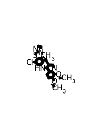 CCOc1ccc2c(Nc3ccc(Sc4nccn4C)c(Cl)c3)c(C#N)cnc2c1OCC